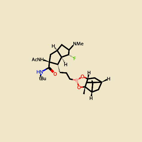 CNC1C[C@@H]2C[C@@](NC(C)=O)(C(=O)NC(C)(C)C)[C@@H](CCCB3O[C@@H]4C[C@@H]5C[C@@H](C5(C)C)[C@]4(C)O3)[C@@H]2[C@H]1F